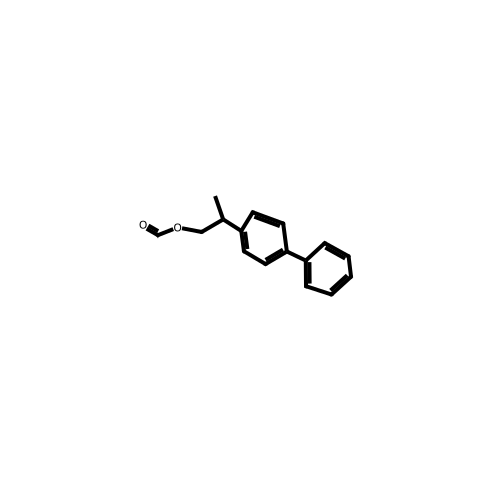 CC(CO[C]=O)c1ccc(-c2ccccc2)cc1